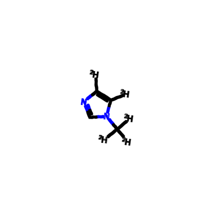 [2H]c1ncn(C([2H])([2H])[2H])c1[2H]